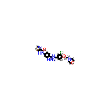 O=C(Nc1ccc(-c2nc(-c3ccc(OCCN4CCOCC4)c(Cl)c3)n[nH]2)cc1)c1cscn1